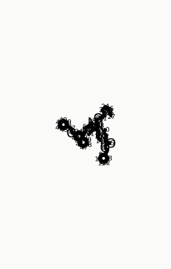 CC1CN(C(=O)OCc2ccccc2)CCN1c1nc(OCC2CCCN2C)nc2c1CN(c1cc(OCc3ccccc3)cc3ccccc13)C2